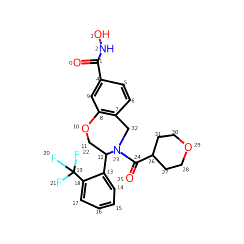 O=C(NO)c1ccc2c(c1)OCC(c1ccccc1C(F)(F)F)N(C(=O)C1CCOCC1)C2